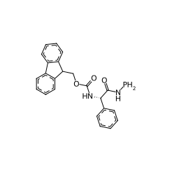 O=C(N[C@H](C(=O)NP)c1ccccc1)OCC1c2ccccc2-c2ccccc21